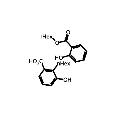 CCCCCCOC(=O)c1ccccc1O.CCCCCCc1c(O)cccc1C(=O)O